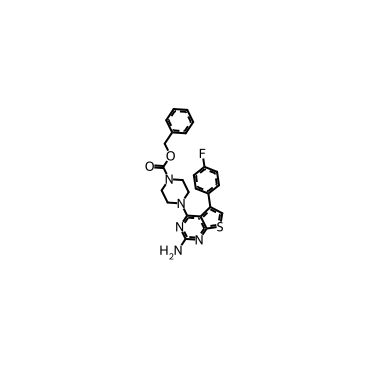 Nc1nc(N2CCN(C(=O)OCc3ccccc3)CC2)c2c(-c3ccc(F)cc3)csc2n1